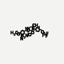 COc1ccc(-c2nn3c(c2C(N)=O)C(=O)N(c2ccc(COCC(F)(F)F)cc2)[C@@H](C)C3)cc1C#N